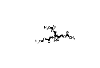 CCOC(=O)Cn1nnc(COC(C)=O)c1COC(C)=O